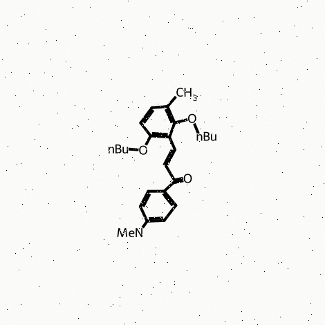 CCCCOc1ccc(C)c(OCCCC)c1C=CC(=O)c1ccc(NC)cc1